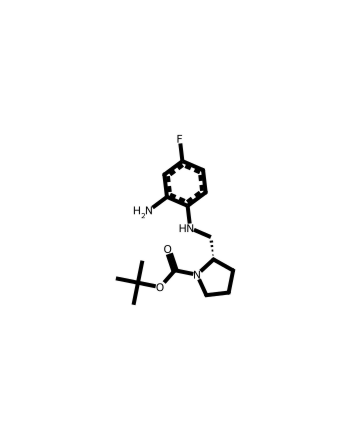 CC(C)(C)OC(=O)N1CCC[C@H]1CNc1ccc(F)cc1N